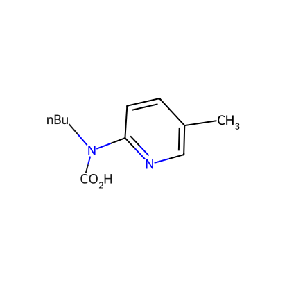 CCCCN(C(=O)O)c1ccc(C)cn1